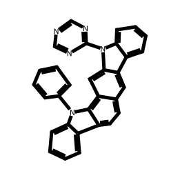 c1ccc(-n2c3ccccc3c3ccc4cc5c6ccccc6n(-c6ncncn6)c5cc4c32)cc1